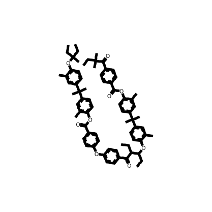 CCC(Oc1ccc(C(C)(C)c2ccc(OC(=O)c3ccc(C(=O)C(C)(C)CC)cc3)c(C)c2)cc1C)C(CC)C(=O)c1ccc(Oc2ccc(C(=O)Oc3ccc(C(C)(C)c4ccc(OC(C)(CC)CC)c(C)c4)cc3C)cc2)cc1